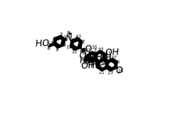 CN(c1ccc(CO)cc1)c1ccc([C@@H]2O[C@@H]3C[C@H]4[C@@H]5CCC6=CC(=O)C=C[C@]6(C)[C@H]5[C@@H](O)C[C@]4(C)[C@]3(C(=O)CO)O2)cc1